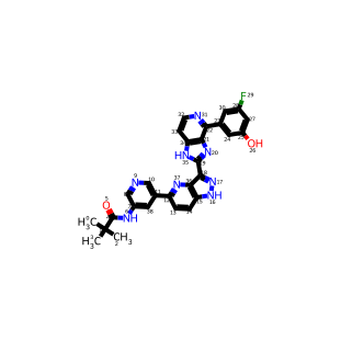 CC(C)(C)C(=O)Nc1cncc(-c2ccc3[nH]nc(-c4nc5c(-c6cc(O)cc(F)c6)nccc5[nH]4)c3n2)c1